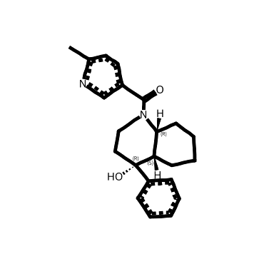 Cc1ccc(C(=O)N2CC[C@](O)(c3ccccc3)[C@H]3CCCC[C@H]32)cn1